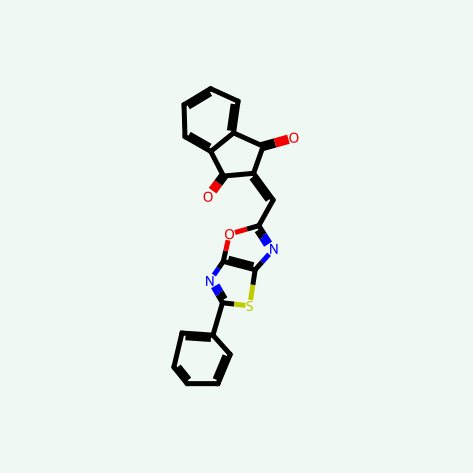 O=C1C(=Cc2nc3sc(-c4ccccc4)nc3o2)C(=O)c2ccccc21